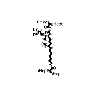 CCCCCCCC(CCCCCCC)C(=O)OCCCCCCCC(CCCCCCOC(=O)C(CCCCCCC)CCCCCCC)OC(=O)OCCN(CC)CCN(CC)CC